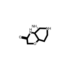 N.O=C1COC2CCNCC2N1